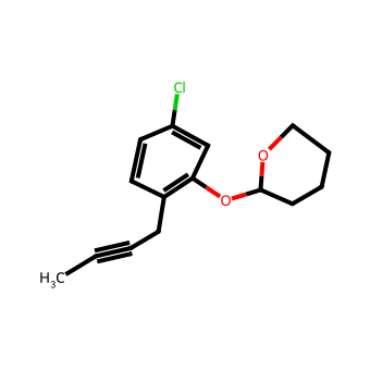 CC#CCc1ccc(Cl)cc1OC1CCCCO1